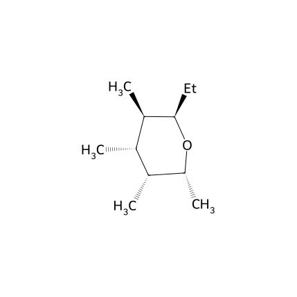 CC[C@H]1O[C@H](C)[C@H](C)[C@H](C)[C@H]1C